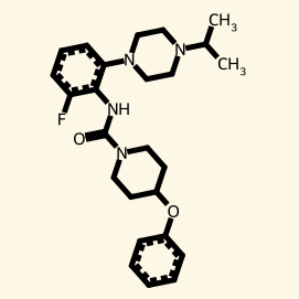 CC(C)N1CCN(c2cccc(F)c2NC(=O)N2CCC(Oc3ccccc3)CC2)CC1